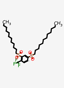 CCCCCCCCCCCCS(=O)(=O)c1[c]cc(C(F)(F)F)c(S(=O)(=O)CCCCCCCCCCCC)c1